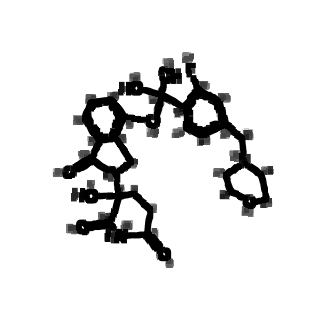 O=C1CCC(O)(N2Cc3c(OC(O)(O)c4ccc(CN5CCOCC5)cc4F)cccc3C2=O)C(=O)N1